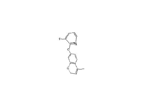 CC1=CCOc2cc(Oc3ncccc3F)ccc21